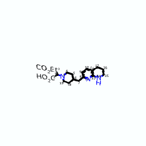 CCOC(=O)C(C(=O)O)N1CCC(Cc2ccc3c(n2)NCCC3)CC1